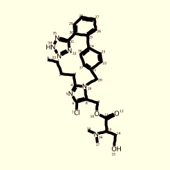 CCCCc1nc(Cl)c(COC(=O)C(CO)N(C)C)n1Cc1ccc(-c2ccccc2-c2nn[nH]n2)cc1